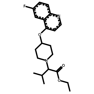 CCOC(=O)C(C(C)C)N1CCC(Oc2ccnc3ccc(F)cc23)CC1